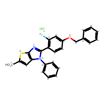 Cl.O=C(O)c1cc2c(nc(-c3ccc(OCc4ccccc4)cc3F)n2-c2ccccc2)s1